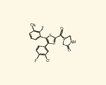 N#Cc1cccc(-c2sc(C(=O)N3CNC(=O)C3)nc2-c2ccc(F)c(Cl)c2)c1F